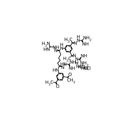 CC(=O)c1cc(NC(CCCCC(=NNC(=N)N)Nc2cc(C(C)=NNC(=N)N)cc(C(C)=NNC(=N)N)c2)=NNC(=N)N)cc(C(C)=O)c1.Cl.Cl.Cl.Cl